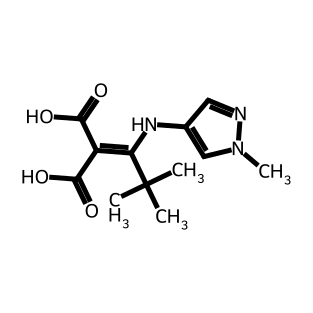 Cn1cc(NC(=C(C(=O)O)C(=O)O)C(C)(C)C)cn1